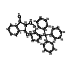 O=C1c2ccccc2C(=O)N1OCc1nccn1C(c1ccccc1)(c1ccccc1)c1ccccc1